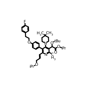 Cc1nc(/C=C/COC(C)C)c(-c2ccc(OCCc3ccc(F)cc3)cc2)c(N2CCC(C)(C)CC2)c1C(OC(C)(C)C)C(=O)OC(C)C